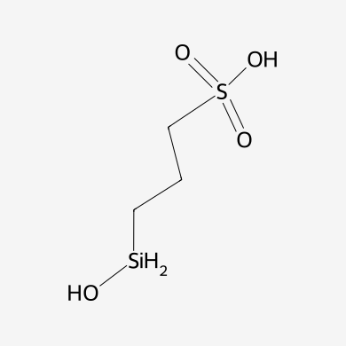 O=S(=O)(O)CCC[SiH2]O